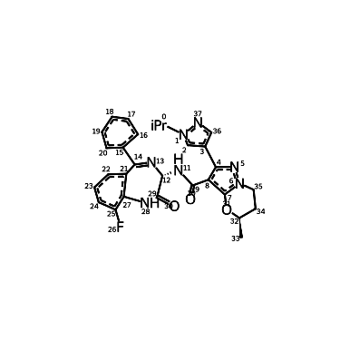 CC(C)n1cc(-c2nn3c(c2C(=O)N[C@H]2N=C(c4ccccc4)c4cccc(F)c4NC2=O)O[C@H](C)CC3)cn1